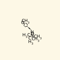 COc1ccc(C#CCCO[SiH](C(C)C)C(C)C)cc1